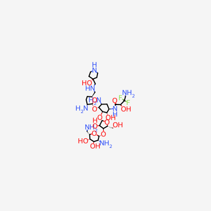 NC[C@@H]1O[C@H](O[C@H]2[C@@H](O)[C@H](O[C@@H]3[C@@H](O)[C@H](NC(=O)C(O)C(F)(F)CN)C[C@H](N)[C@H]3O[C@H]3O[C@H](CNCC4(O)CCNCC4)CC[C@H]3N)O[C@@H]2CO)[C@H](N)[C@@H](O)[C@@H]1O